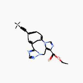 CCOC(=O)c1ncn2c1Cn1ncnc1-c1cc(C#C[Si](C)(C)C)ccc1-2